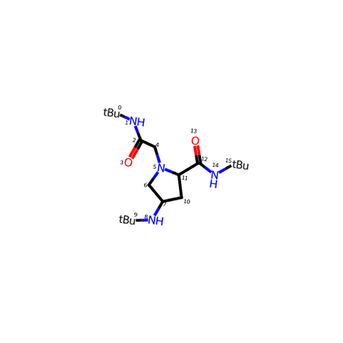 CC(C)(C)NC(=O)CN1CC(NC(C)(C)C)CC1C(=O)NC(C)(C)C